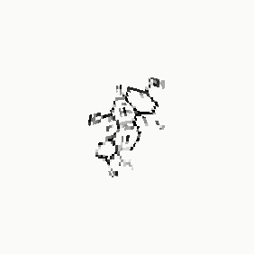 C[C@]12CC[C@H](O)C[C@H]1C[C@H](O)[C@@H]1[C@@H]2CC[C@]2(C)C(O)=CC[C@@H]12